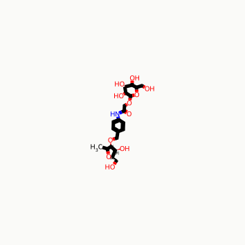 CC1O[C@H](CO)[C@@H](O)[C@H]1OCc1ccc(NC(=O)COC2OC(CO)C(O)C(O)C2O)cc1